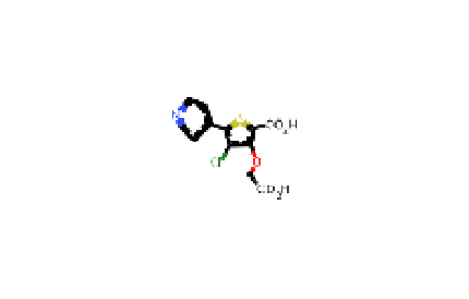 O=C(O)COc1c(C(=O)O)sc(-c2ccncc2)c1Cl